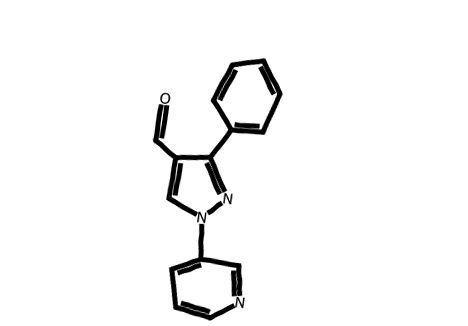 O=Cc1cn(-c2cccnc2)nc1-c1ccccc1